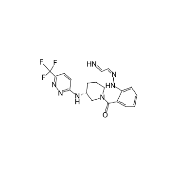 N=C/C=N\Nc1ccccc1C(=O)N1CCC[C@@H](Nc2ccc(C(F)(F)F)nn2)C1